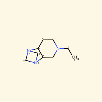 CCN1CCC2C(C1)N1CN2C1